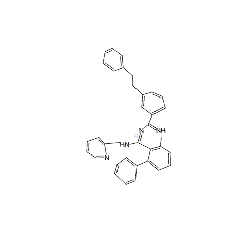 Cc1cccc(-c2ccccc2)c1/C(=N\C(=N)c1cccc(CCc2ccccc2)c1)NCc1ccccn1